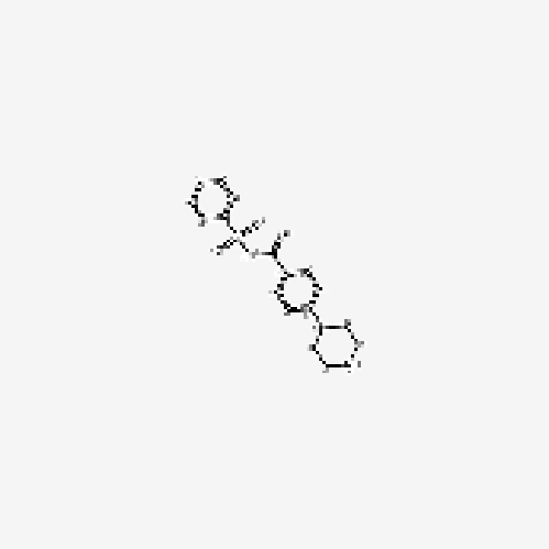 O=C(NS(=O)(=O)c1ccccc1)c1ccc(N2CCNCC2)cc1